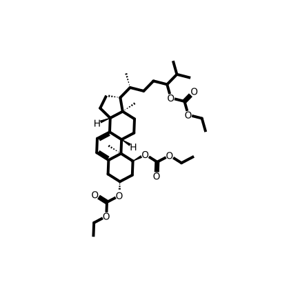 CCOC(=O)OC(CC[C@@H](C)[C@H]1CC[C@H]2C3=CC=C4C[C@@H](OC(=O)OCC)C[C@H](OC(=O)OCC)[C@]4(C)[C@H]3CC[C@]12C)C(C)C